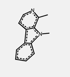 Cc1nccc2c3ccccc3n(C)c12